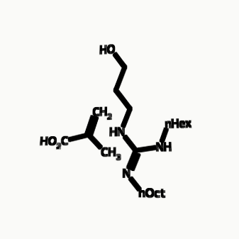 C=C(C)C(=O)O.CCCCCCCC/N=C(/NCCCO)NCCCCCC